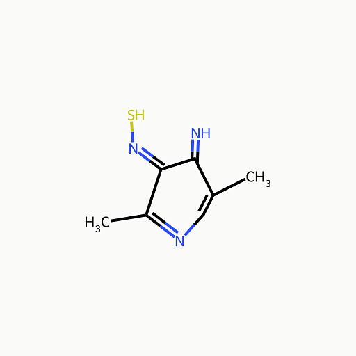 CC1=CN=C(C)/C(=N/S)C1=N